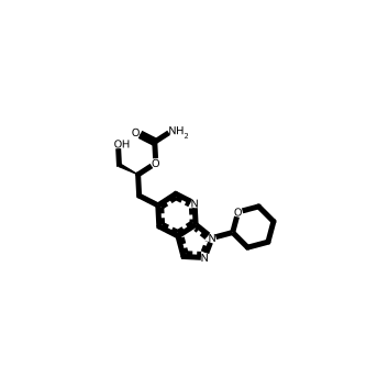 NC(=O)O[C@H](CO)Cc1cnc2c(cnn2C2CCCCO2)c1